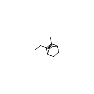 CCC1=C(C)C2C=CC1CC2